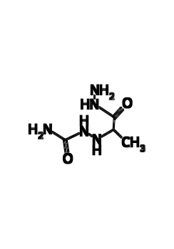 CC(NNC(N)=O)C(=O)NN